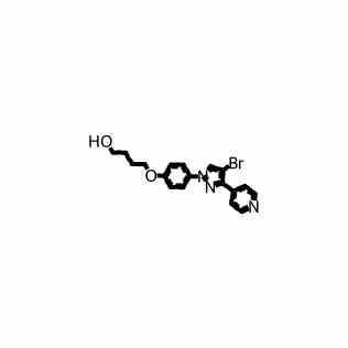 OCCCCOc1ccc(-n2cc(Br)c(-c3ccncc3)n2)cc1